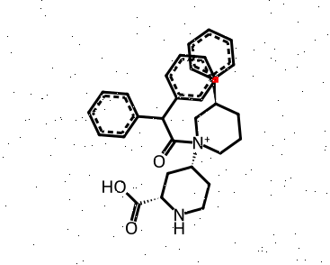 O=C(O)[C@@H]1C[C@H]([N+]2(C(=O)C(c3ccccc3)c3ccccc3)CCC[C@H](c3ccccc3)C2)CCN1